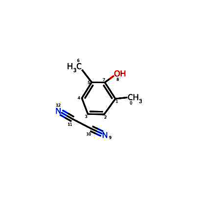 Cc1cccc(C)c1O.N#CC#N